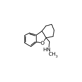 CNCC12CCCCC1c1ccccc1O2